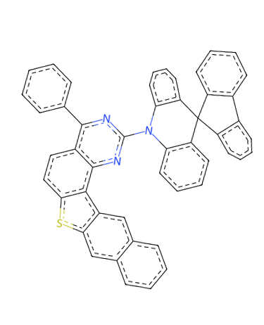 c1ccc(-c2nc(N3c4ccccc4C4(c5ccccc5-c5ccccc54)c4ccccc43)nc3c2ccc2sc4cc5ccccc5cc4c23)cc1